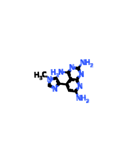 Cn1cnc(-c2cc(N)nc3nc(N)nc(N)c23)c1